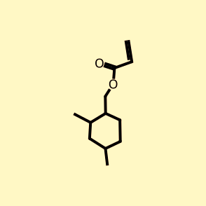 C=CC(=O)OCC1CCC(C)CC1C